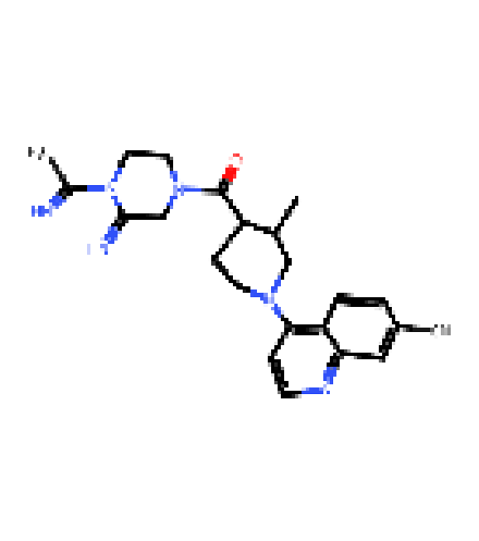 CC1CN(c2ccnc3cc(C#N)ccc23)CCC1C(=O)N1CCN(C(=N)C(F)(F)F)C(=N)C1